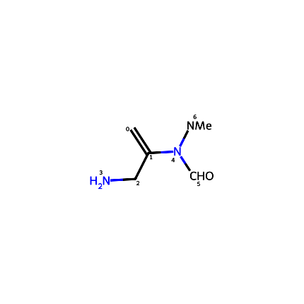 C=C(CN)N(C=O)NC